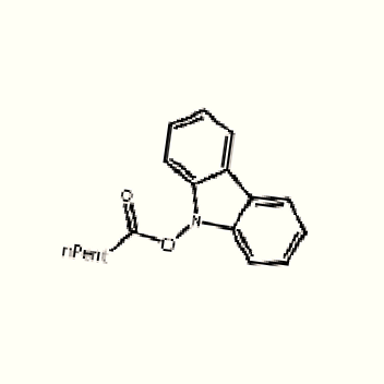 CCCCCC(=O)On1c2ccccc2c2ccccc21